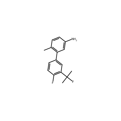 Cc1ccc(N)cc1-c1ccc(F)c(C(C)(C)F)c1